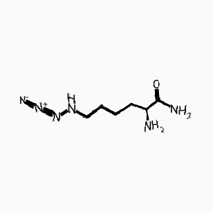 [N-]=[N+]=NNCCCC[C@H](N)C(N)=O